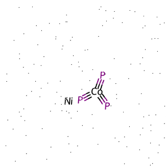 [Ni].[P]#[Co](#[P])#[P]